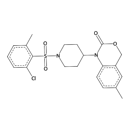 Cc1ccc2c(c1)COC(=O)N2C1CCN(S(=O)(=O)c2c(C)cccc2Cl)CC1